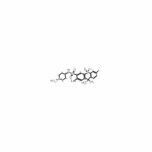 CC1(C)c2ccc(F)cc2S(=O)(=O)c2cc(S(=O)(=O)NC3CCN(C(=O)O)CC3)c(Cl)cc21